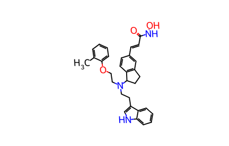 Cc1ccccc1OCCN(CCc1c[nH]c2ccccc12)C1CCc2cc(C=CC(=O)NO)ccc21